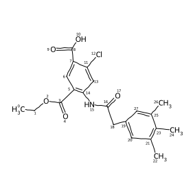 CCOC(=O)c1cc(C(=O)O)c(Cl)cc1NC(=O)Cc1cc(C)c(C)c(C)c1